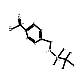 CC(C)(C)[Si](C)(C)OCc1ccc(C(=O)Cl)cc1